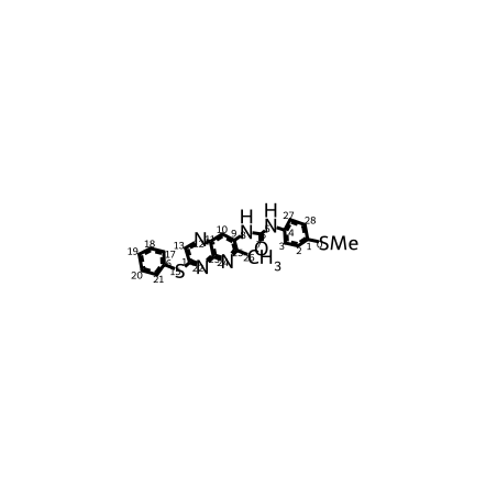 CSc1ccc(NC(=O)Nc2cc3ncc(Sc4ccccc4)nc3nc2C)cc1